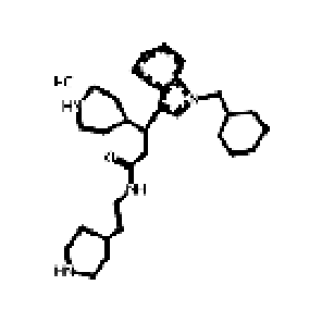 Cl.O=C(CC(c1cn(CC2CCCCC2)c2ccccc12)C1CCNCC1)NCCC1CCNCC1